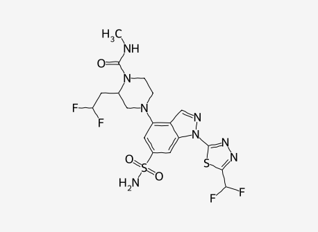 CNC(=O)N1CCN(c2cc(S(N)(=O)=O)cc3c2cnn3-c2nnc(C(F)F)s2)CC1CC(F)F